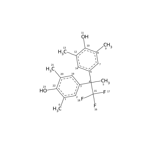 Cc1cc(C(C)(c2cc(C)c(O)c(C)c2)C(F)(F)F)cc(C)c1O